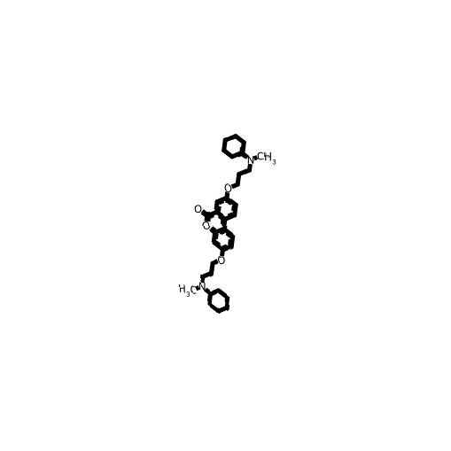 CN(CCCOc1ccc2c(c1)oc(=O)c1cc(OCCCN(C)C3CCCCC3)ccc12)C1CCCCC1